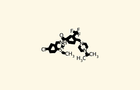 CC[S+]([O-])c1ccc(Cl)cc1CNC(=O)c1ccc(CN2CCN(C(C)C)CC2)c(C(F)(F)F)c1